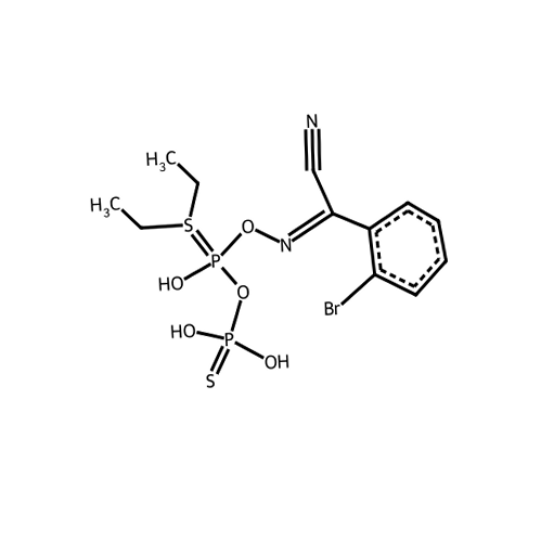 CCS(CC)=P(O)(ON=C(C#N)c1ccccc1Br)OP(O)(O)=S